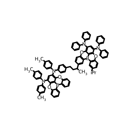 Cc1ccc(N(c2ccc(C)cc2)c2cc(N(c3ccc(C)cc3)c3ccc(CCC(C)c4ccc5c(c4)B4c6cc(C(C)C)ccc6Oc6c(N(c7ccccc7)c7ccccc7)cc(N(c7ccccc7)c7ccccc7)c(c64)O5)cc3)c3c4c2Oc2ccccc2B4c2ccccc2O3)cc1